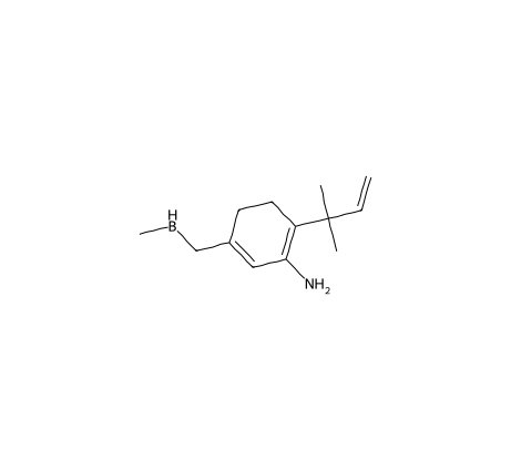 C=CC(C)(C)C1=C(N)C=C(CBC)CC1